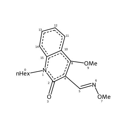 CCCCCCn1c(=O)c(C=NOC)c(OC)c2ccccc21